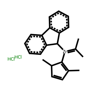 CC1=[C]([Zr](=[C](C)C)[CH]2c3ccccc3-c3ccccc32)C(C)C=C1.Cl.Cl